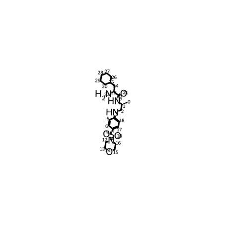 C[C@@H](CNc1ccc(S(=O)(=O)N2CCOCC2)cc1)NC(=O)[C@@H](N)CC1CCCCC1